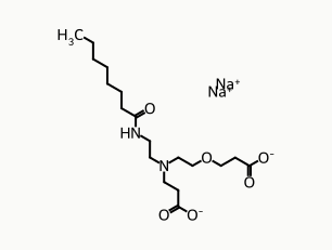 CCCCCCCC(=O)NCCN(CCOCCC(=O)[O-])CCC(=O)[O-].[Na+].[Na+]